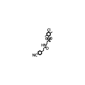 Cc1cc(S(=O)(=O)N(C)CCNC(=O)CCc2ccc(C#N)cc2)c(C)cc1Cl